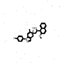 COc1ccc2ccccc2c1C(O)C[C@]1(C)Cc2cnn(-c3ccc(F)cc3)c2C=C1C